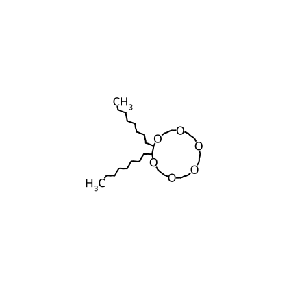 CCCCCCCCC1OCCOCCOCCOCCOCCOC1CCCCCCCC